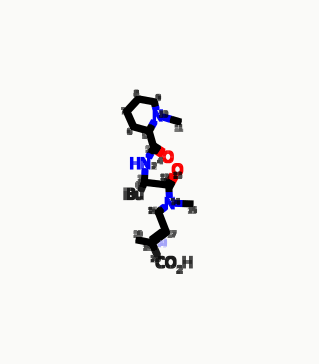 CCC(C)C(NC(=O)C1CCCCN1C)C(=O)N(C)C/C=C(\C)C(=O)O